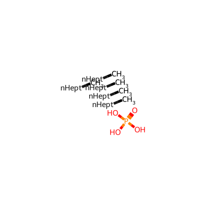 CCCCCCCC.CCCCCCCC.CCCCCCCC.CCCCCCCC.CCCCCCCC.O=P(O)(O)O